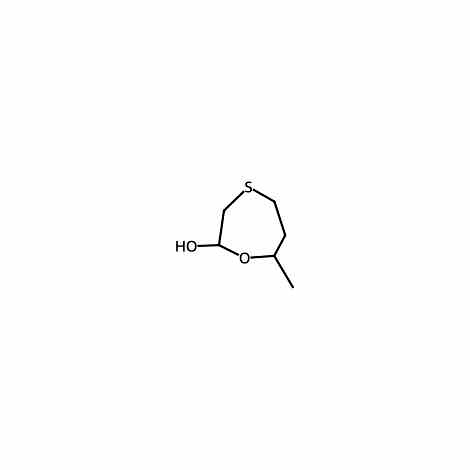 CC1CCSCC(O)O1